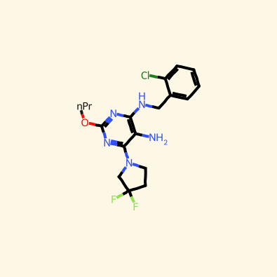 CCCOc1nc(NCc2ccccc2Cl)c(N)c(N2CCC(F)(F)C2)n1